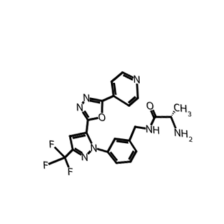 C[C@H](N)C(=O)NCc1cccc(-n2nc(C(F)(F)F)cc2-c2nnc(-c3ccncc3)o2)c1